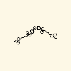 C=CC(=O)OCCCCCC(=O)Oc1ccc(Oc2ccc(OC(=O)CCCCCOC(=O)C=C)cc2)cc1